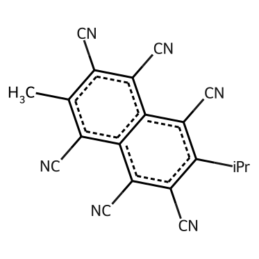 Cc1c(C#N)c(C#N)c2c(C#N)c(C(C)C)c(C#N)c(C#N)c2c1C#N